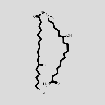 CCCCCCC(O)CCCCCCCCCCC(N)=O.CCCCCC[C@@H](O)C/C=C\CCCCCCCC(N)=O